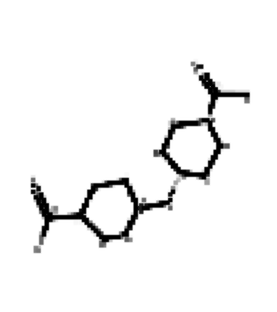 CC(=O)[C@H]1CC[C@H](CN2CCC(C(=O)I)CC2)CC1